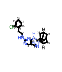 N#Cc1cnc(NCCc2ccccc2Cl)nc1NC[C@]12CC3C[C@H](C1)[C@@H](N)[C@@H](C3)C2